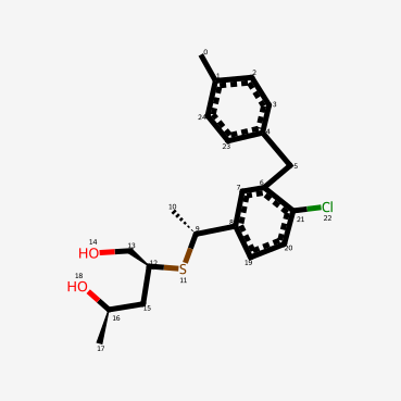 Cc1ccc(Cc2cc([C@@H](C)S[C@H](CO)C[C@@H](C)O)ccc2Cl)cc1